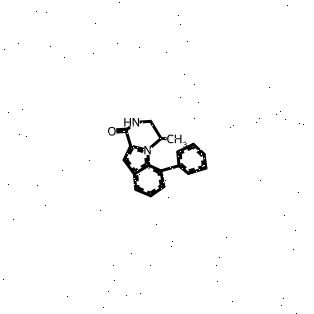 CC1CNC(=O)c2cc3cccc(-c4ccccc4)c3n21